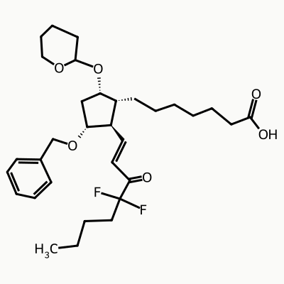 CCCCC(F)(F)C(=O)C=C[C@@H]1[C@@H](CCCCCCC(=O)O)[C@@H](OC2CCCCO2)C[C@H]1OCc1ccccc1